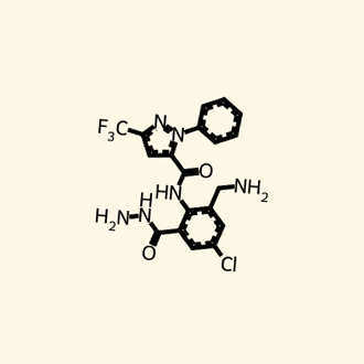 NCc1cc(Cl)cc(C(=O)NN)c1NC(=O)c1cc(C(F)(F)F)nn1-c1ccccc1